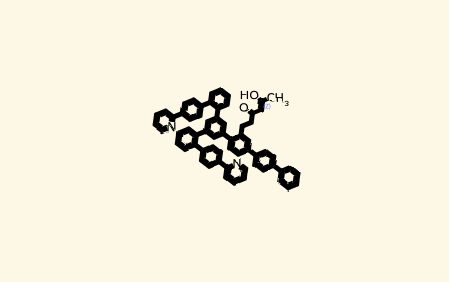 C/C(O)=C/C(=O)CCc1cc(-c2ccc(-c3ccccc3)cc2)ccc1-c1cc(-c2ccccc2-c2ccc(-c3ccccn3)cc2)cc(-c2ccccc2-c2ccc(-c3ccccn3)cc2)c1